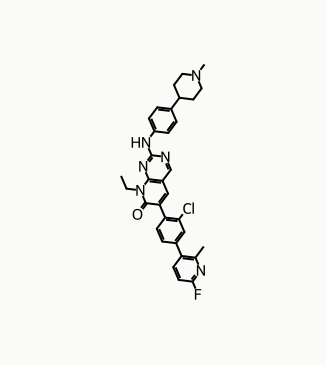 CCn1c(=O)c(-c2ccc(-c3ccc(F)nc3C)cc2Cl)cc2cnc(Nc3ccc(C4CCN(C)CC4)cc3)nc21